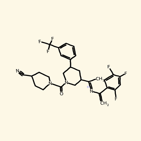 C=C(/N=C(\C)C1CC(c2cccc(C(F)(F)F)c2)CN(C(=O)N2CCC(C#N)CC2)C1)c1cc(F)c(F)cc1F